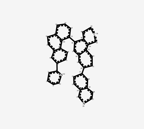 c1ccc(-c2ccc3c(ccc4cccc(-c5cc6cc(-c7ccc8cnccc8c7)ccc6c6ccccc56)c43)c2)nc1